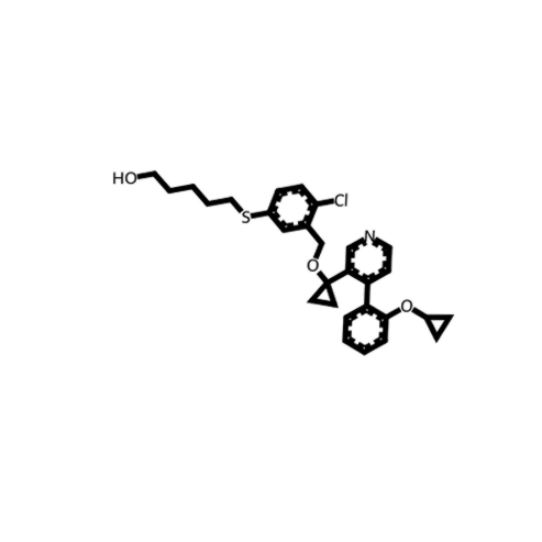 OCCCCCSc1ccc(Cl)c(COC2(c3cnccc3-c3ccccc3OC3CC3)CC2)c1